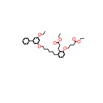 CCOC(=O)CCCOc1cccc(CCCCCCOc2cc(OCC)cc(-c3ccccc3)c2)c1CCC(=O)OCC